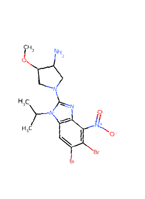 COC1CN(c2nc3c([N+](=O)[O-])c(Br)c(Br)cc3n2C(C)C)CC1N